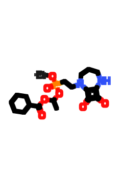 C[CH]OP(=O)(CCN1CCCNc2c1c(=O)c2=O)OC(C)OC(=O)C1CCCCC1